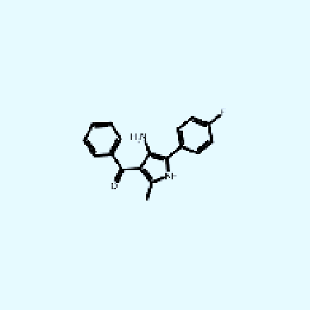 Cc1[nH]c(-c2ccc(F)cc2)c(N)c1C(=O)c1ccccc1